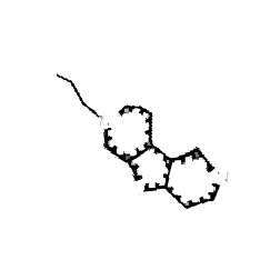 CCC[n+]1ccc2c(c1)sc1ccncc12